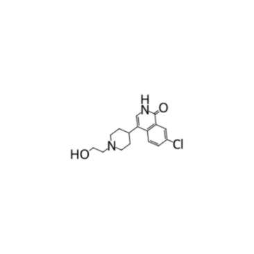 O=c1[nH]cc(C2CCN(CCO)CC2)c2ccc(Cl)cc12